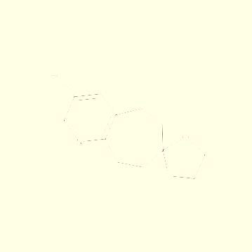 CC(C)(C)c1cnc2c(c1)CCC1(CC2)OCCO1